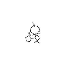 CN1CCO[Si](C)(C(N2CCC[SiH2]2)C(C)(C)C)OCC1